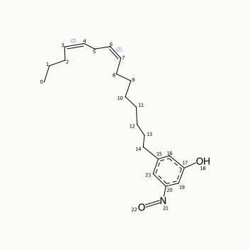 CCC/C=C\C/C=C\CCCCCCCc1cc(O)cc(N=O)c1